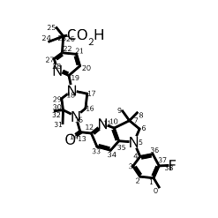 Cc1ccc(N2CC(C)(C)c3nc(C(=O)N4CCN(c5ccc(C(C)(C)C(=O)O)cn5)CC4(C)C)ccc32)cc1F